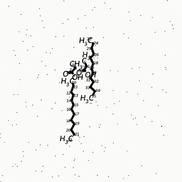 CCC(=O)O.CCC(=O)O.CCCCCCCCCCCCC.CCCCCCCCCCCCC